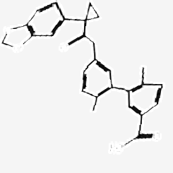 Cc1ccc(CC(=O)C2(c3ccc4c(c3)OCO4)CC2)cc1-c1cc(C(=O)O)ccc1C